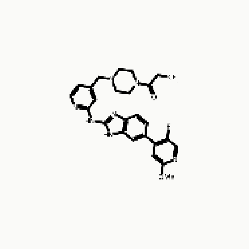 COc1cc(-c2ccc3nc(Nc4cc(CN5CCN(C(=O)CC(F)(F)F)CC5)ccn4)[nH]c3c2)c(F)cn1